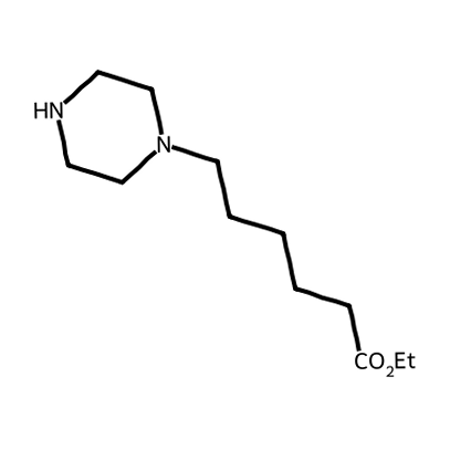 CCOC(=O)CCCCCN1CCNCC1